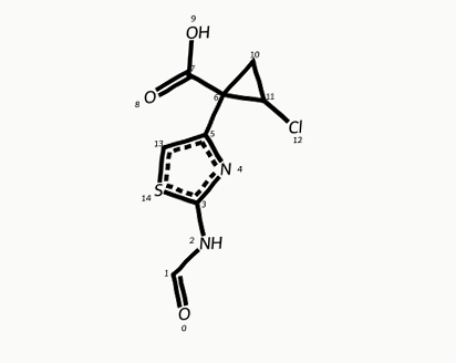 O=CNc1nc(C2(C(=O)O)CC2Cl)cs1